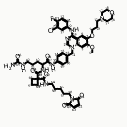 COc1cc2c(cc1OCCCN1CCOCC1)c(Nc1ccc(F)c(Cl)c1)nc[n+]2Cc1ccc(NC(=O)C(CCCNC(N)=O)NC(=O)C2(C(=O)NCCCCCN3C(=O)C=CC3=O)CCC2)cc1